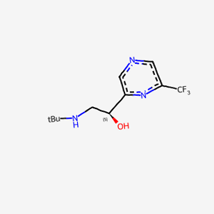 CC(C)(C)NC[C@H](O)c1cncc(C(F)(F)F)n1